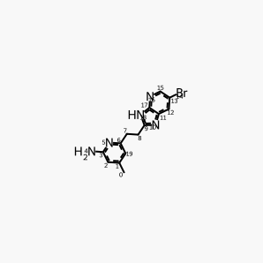 Cc1cc(N)nc(CCc2nc3cc(Br)cnc3[nH]2)c1